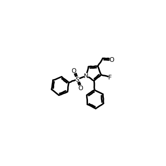 O=Cc1cn(S(=O)(=O)c2ccccc2)c(-c2ccccc2)c1F